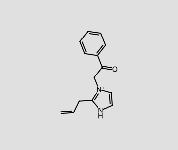 C=CCc1[nH]cc[n+]1CC(=O)c1ccccc1